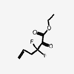 C=CCC(F)(F)C(=O)C(=O)OCC